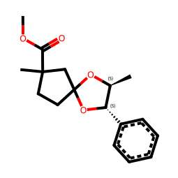 COC(=O)C1(C)CCC2(C1)O[C@@H](C)[C@H](c1ccccc1)O2